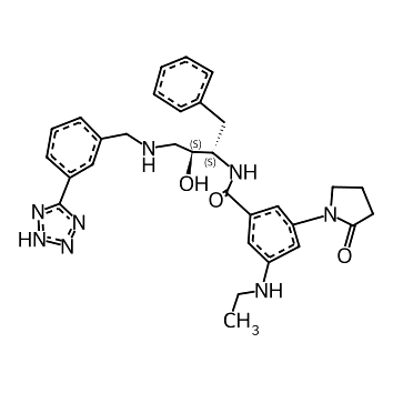 CCNc1cc(C(=O)N[C@@H](Cc2ccccc2)[C@@H](O)CNCc2cccc(-c3nn[nH]n3)c2)cc(N2CCCC2=O)c1